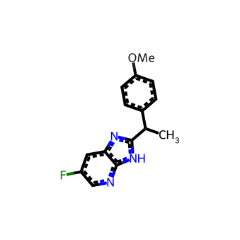 COc1ccc(C(C)c2nc3cc(F)cnc3[nH]2)cc1